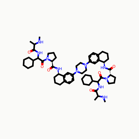 CNC(C)C(=O)NC(C(=O)N1CCC[C@H]1C(=O)N[C@@H]1CCCc2ccc(N3CCN(c4ccc5c(c4)[C@H](NC(=O)[C@@H]4CCCN4C(=O)C(NC(=O)C(C)NC)C4CCCCC4)CCC5)CC3)cc21)C1CCCCC1